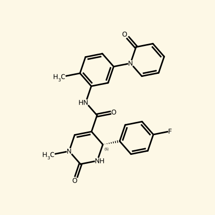 Cc1ccc(-n2ccccc2=O)cc1NC(=O)C1=CN(C)C(=O)N[C@H]1c1ccc(F)cc1